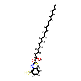 CCCCCCCCCCCCCCCCCCCC(=O)Oc1nc2c(S)cccc2s1